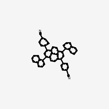 N#Cc1ccc(-c2cc(-c3cccc4ccccc34)c3ccc4c(-c5ccc(C#N)cc5)cc(-c5cccc6ccccc56)c5ccc2c3c45)cc1